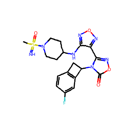 CS(=N)(=O)N1CCC(Nc2nonc2-c2noc(=O)n2C2Cc3ccc(F)cc32)CC1